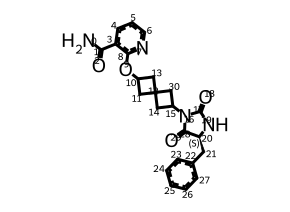 NC(=O)c1cccnc1OC1CC2(C1)CC(N1C(=O)N[C@@H](Cc3ccccc3)C1=O)C2